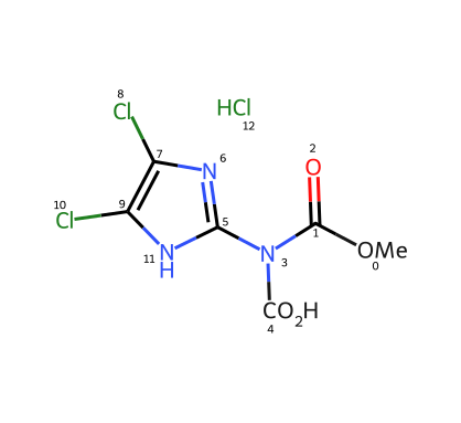 COC(=O)N(C(=O)O)c1nc(Cl)c(Cl)[nH]1.Cl